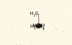 CCC/C=C\CCCCCCCCCCCCCCCCCCC(O)(C[N+](C)(C)C)P(=O)(O)O